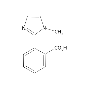 Cn1c[c]nc1-c1ccccc1C(=O)O